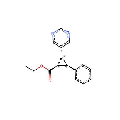 CCOC(=O)[C@@H]1[C@H](c2ccccc2)[C@H]1c1cncnc1